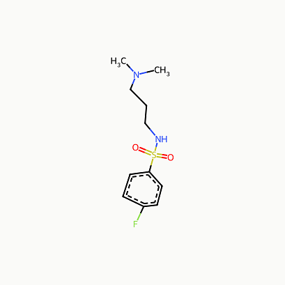 CN(C)CCCNS(=O)(=O)c1ccc(F)cc1